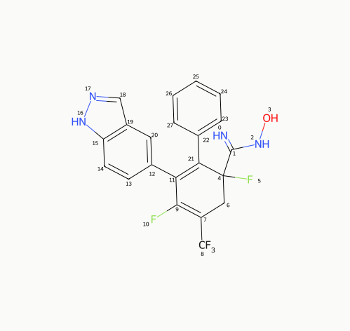 N=C(NO)C1(F)CC(C(F)(F)F)=C(F)C(c2ccc3[nH]ncc3c2)=C1c1ccccc1